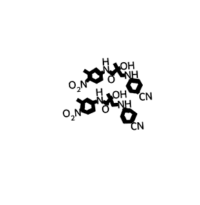 Cc1cc(NC(=O)C(C)(O)CNc2ccc(C#N)cc2)ccc1[N+](=O)[O-].Cc1cc(NC(=O)C(C)(O)CNc2ccc(C#N)cc2)ccc1[N+](=O)[O-]